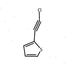 ClC#Cc1cccs1